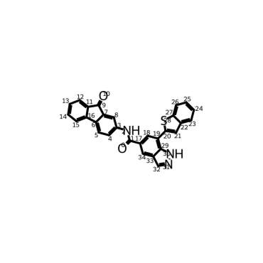 O=C(Nc1ccc2c(c1)C(=O)c1ccccc1-2)c1cc(-c2cc3ccccc3s2)c2[nH]ncc2c1